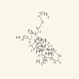 CCCCCC(=O)O[C@]1(CCC)CC[C@H]2[C@@H]3C=C(C)C4=CCCC[C@@H]4[C@H]3CC[C@@]21C